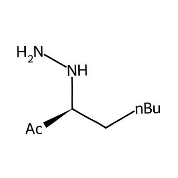 CCCCC[C@H](NN)C(C)=O